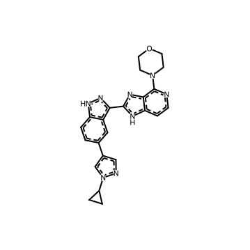 c1cc2[nH]c(-c3n[nH]c4ccc(-c5cnn(C6CC6)c5)cc34)nc2c(N2CCOCC2)n1